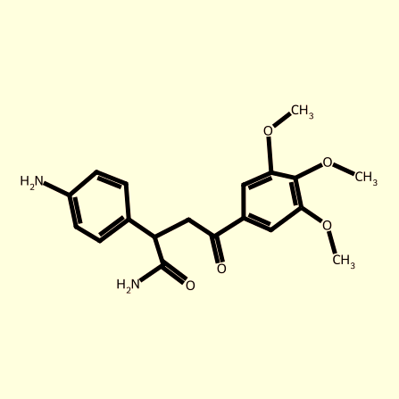 COc1cc(C(=O)CC(C(N)=O)c2ccc(N)cc2)cc(OC)c1OC